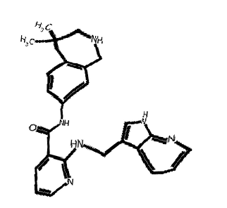 CC1(C)CNCc2cc(NC(=O)c3cccnc3NCc3c[nH]c4ncccc34)ccc21